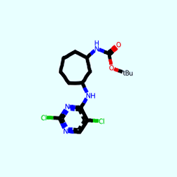 CC(C)(C)OC(=O)NC1CCCCC(Nc2nc(Cl)ncc2Cl)C1